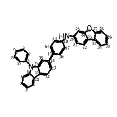 c1ccc(-n2c3ccccc3c3ccc(-c4ccc(Nc5ccc6c(c5)oc5ccccc56)cc4)cc32)cc1